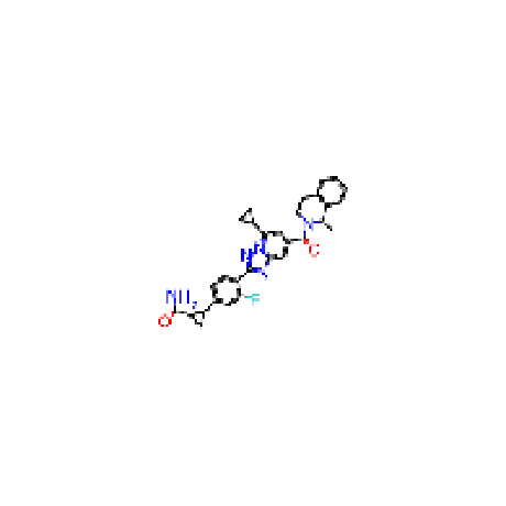 C[C@@H]1c2ccccc2CCN1C(=O)c1cc(C2CC2)n2nc(-c3ccc(C4C[C@H]4C(N)=O)cc3F)nc2c1